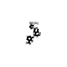 CC(=O)NC1CCN(c2cc3c(NCc4cccc(C(F)F)c4F)ccnc3cn2)C1